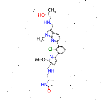 COc1nc(-c2cccc(-c3ccc4c(CNC[C@H](C)O)cn(C)c4n3)c2Cl)ccc1CNC[C@@H]1CCC(=O)N1